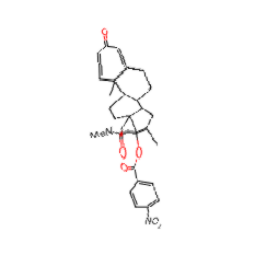 CNC(=O)C1(OC(=O)c2ccc([N+](=O)[O-])cc2)C(C)CC2C3CCC4=CC(=O)C=CC4(C)C3CCC21C